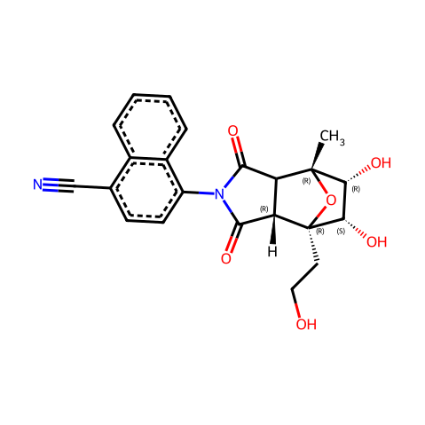 C[C@@]12O[C@](CCO)([C@@H]3C(=O)N(c4ccc(C#N)c5ccccc45)C(=O)C31)[C@@H](O)[C@H]2O